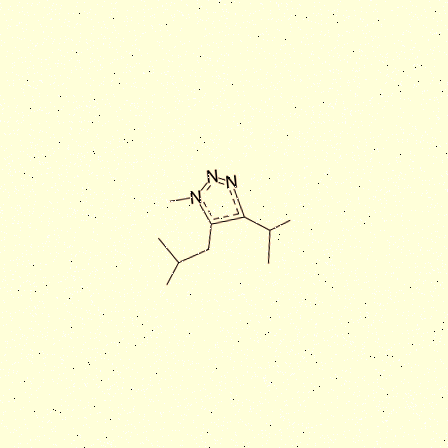 CC(C)Cc1c(C(C)C)nnn1C